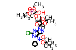 CCOP(=O)(OCC)C(C)(CO)OC[C@H]1O[C@@H](n2ncc3c(N(C(=O)OC(C)(C)C)C4CCCC4)nc(Cl)nc32)[C@@H]2OC(C)(C)O[C@@H]21